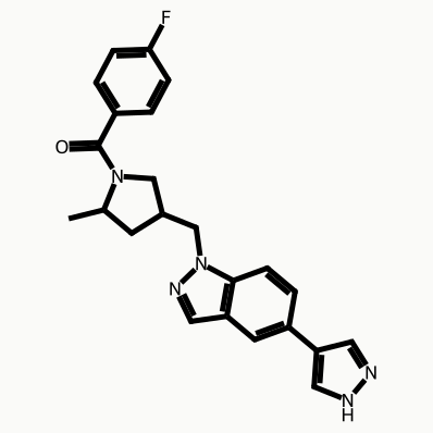 CC1CC(Cn2ncc3cc(-c4cn[nH]c4)ccc32)CN1C(=O)c1ccc(F)cc1